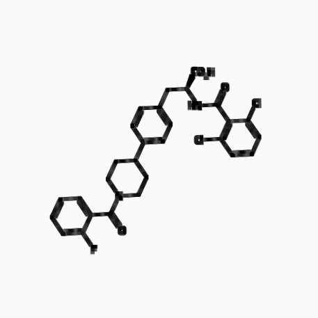 O=C(N[C@@H](Cc1ccc(C2CCN(C(=O)c3ccccc3F)CC2)cc1)C(=O)O)c1c(Cl)cccc1Cl